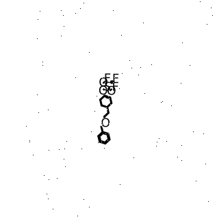 O=S(=O)(OC1=CCC(CCOCc2ccccc2)CC1)C(F)(F)F